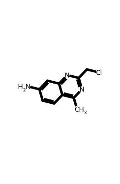 Cc1nc(CCl)nc2cc(N)ccc12